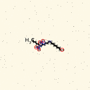 CCCCC/C(=C\C(/C=C/C/C=C\CCCCCC[C]=O)[N+](=O)[O-])[N+](=O)[O-]